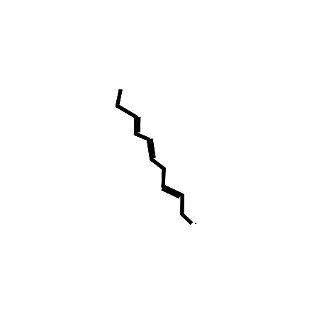 [CH2]CC=CCC=CC=CCC